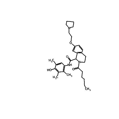 CCCCCC(=O)N1CCc2ccc(OCCN3CCCC3)cc2C1C(=O)Nc1cc(C)c(O)c(C)c1C